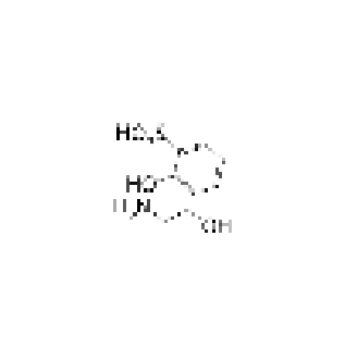 NCCO.O=S(=O)(O)c1ccccc1O